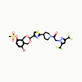 CS(=O)(=O)Oc1ccc(Br)c2c1COC(c1csc(C3CCN(C(=O)Cn4nc(C(F)F)cc4C(F)F)CC3)n1)OC2